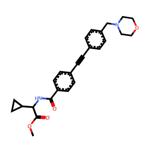 COC(=O)C(NC(=O)c1ccc(C#Cc2ccc(CN3CCOCC3)cc2)cc1)C1CC1